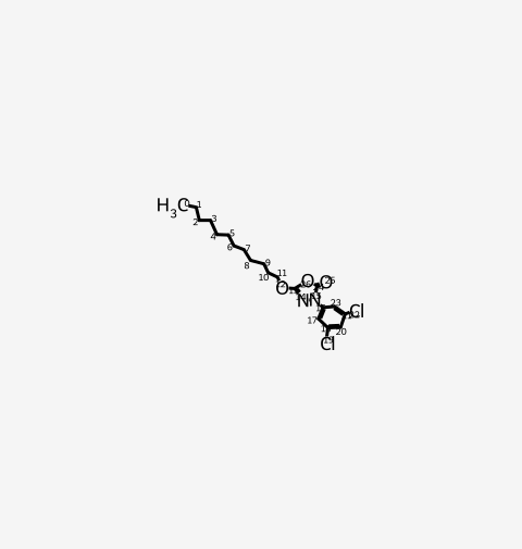 CCCCCCCCCCCCOc1nn(-c2cc(Cl)cc(Cl)c2)c(=O)o1